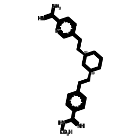 N=C(NC(=O)O)c1ccc(CC[C@@H]2CCC[C@H](CCc3ccc(C(=N)N)nc3)C2)cc1